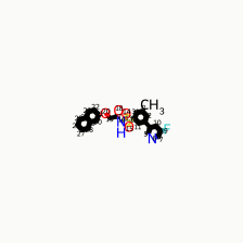 Cc1cc(-c2cncc(F)c2)cc(S(=O)(=O)NC(=O)COc2ccc3ccccc3c2)c1